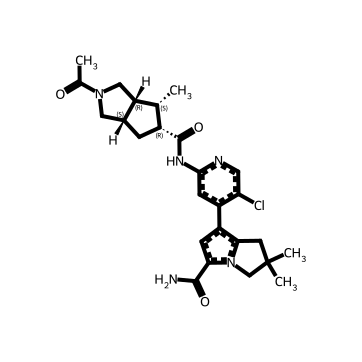 CC(=O)N1C[C@H]2C[C@@H](C(=O)Nc3cc(-c4cc(C(N)=O)n5c4CC(C)(C)C5)c(Cl)cn3)[C@@H](C)[C@H]2C1